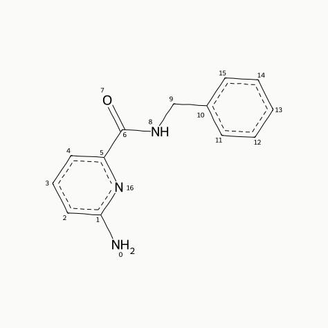 Nc1cccc(C(=O)NCc2ccccc2)n1